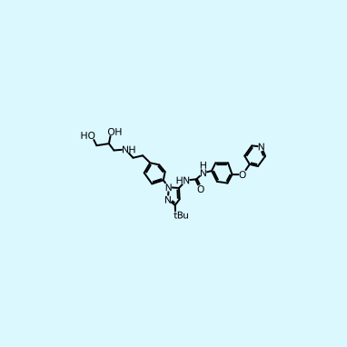 CC(C)(C)c1cc(NC(=O)Nc2ccc(Oc3ccncc3)cc2)n(-c2ccc(CCNCC(O)CO)cc2)n1